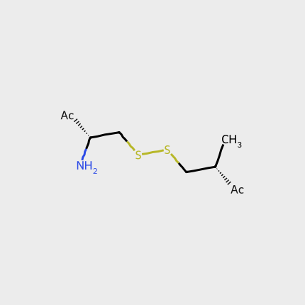 CC(=O)[C@@H](C)CSSC[C@H](N)C(C)=O